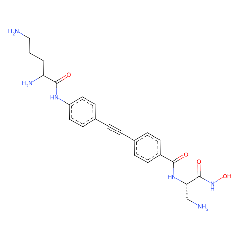 NCCCC(N)C(=O)Nc1ccc(C#Cc2ccc(C(=O)N[C@@H](CN)C(=O)NO)cc2)cc1